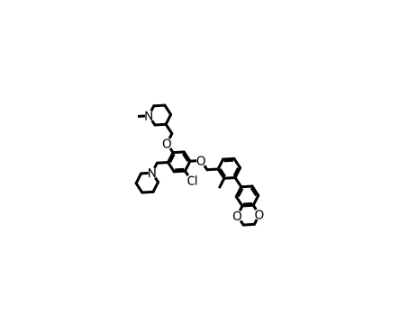 Cc1c(COc2cc(OCC3CCCN(C)C3)c(CN3CCCCC3)cc2Cl)cccc1-c1ccc2c(c1)OCCO2